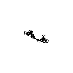 O=C1CCc2cc(OCCCCN3CCC(c4noc5cc(F)ccc45)CC3)cc3c2N1CC3Cl